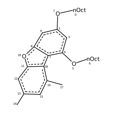 CCCCCCCCOc1cc(OCCCCCCCC)c2c(c1)oc1cc(C)cc(C)c12